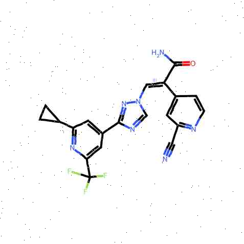 N#Cc1cc(/C(=C\n2cnc(-c3cc(C4CC4)nc(C(F)(F)F)c3)n2)C(N)=O)ccn1